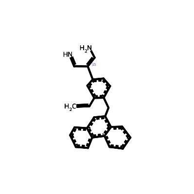 C=Cc1cc(/C(C=N)=C/N)ccc1Cc1cc2ccccc2c2ccccc12